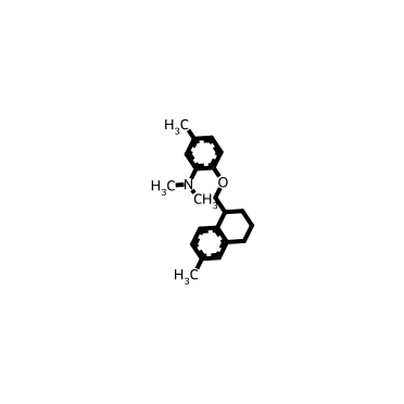 Cc1ccc2c(c1)CCCC2COc1ccc(C)cc1N(C)C